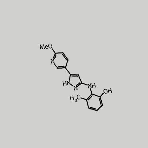 COc1ccc(-c2cc(Nc3c(C)cccc3O)n[nH]2)cn1